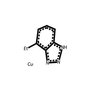 CCc1cccc2[nH]nnc12.[Cu]